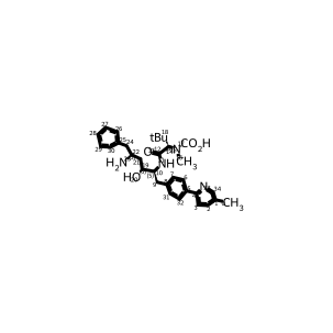 Cc1ccc(-c2ccc(C[C@H](NC(=O)[C@@H](N(C)C(=O)O)C(C)(C)C)[C@@H](O)C[C@@H](N)Cc3ccccc3)cc2)nc1